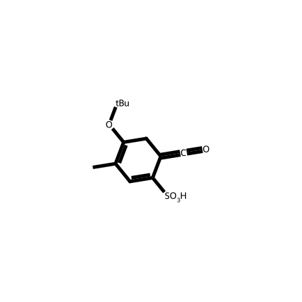 CC1=C(OC(C)(C)C)CC(=C=O)C(S(=O)(=O)O)=C1